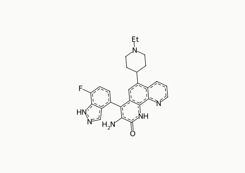 CCN1CCC(c2cc3c(-c4ccc(F)c5[nH]ncc45)c(N)c(=O)[nH]c3c3ncccc23)CC1